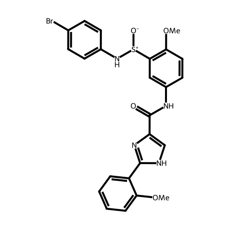 COc1ccccc1-c1nc(C(=O)Nc2ccc(OC)c([S+]([O-])Nc3ccc(Br)cc3)c2)c[nH]1